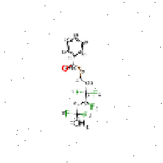 CC(F)(F)CC(F)C(F)(F)CCSC(=O)c1ccccc1